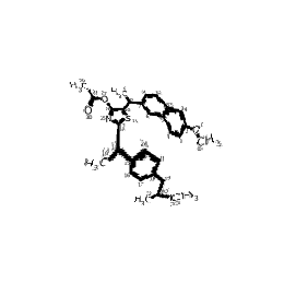 COc1ccc2cc(C(C)c3sc(C(C)c4ccc(CC(C)C)cc4)nc3OC(C)=O)ccc2c1